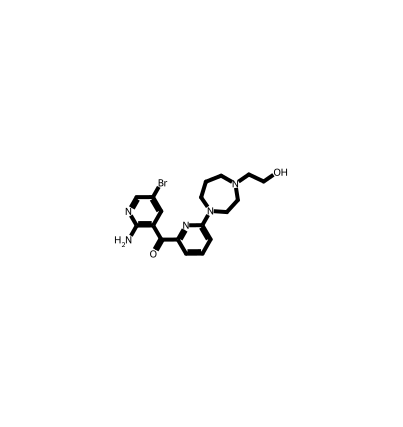 Nc1ncc(Br)cc1C(=O)c1cccc(N2CCCN(CCO)CC2)n1